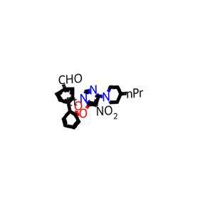 CCCC1CCN(c2ncnc(OC3(OCC)C=CC=CC3c3ccc(C=O)cc3)c2[N+](=O)[O-])CC1